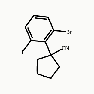 N#CC1(c2c(Br)cccc2I)CCCC1